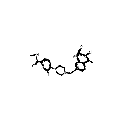 CNC(=O)c1ccc(N2CCN(Cc3cnc4c(C)c(Cl)c(=O)[nH]c4c3)CC2)c(F)n1